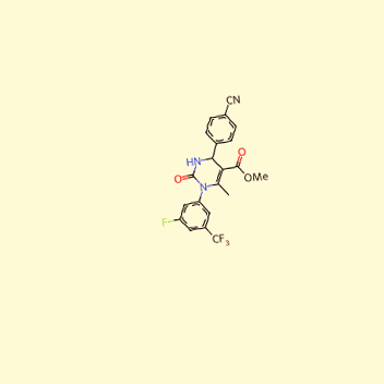 COC(=O)C1=C(C)N(c2cc(F)cc(C(F)(F)F)c2)C(=O)NC1c1ccc(C#N)cc1